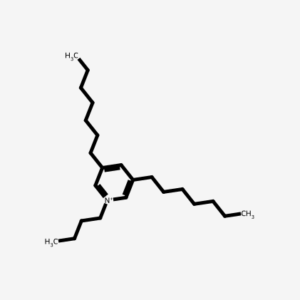 CCCCCCCc1cc(CCCCCCC)c[n+](CCCC)c1